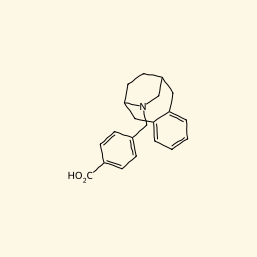 O=C(O)c1ccc(CN2CC3CCC2Cc2ccccc2C3)cc1